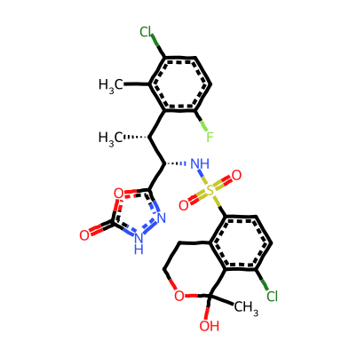 Cc1c(Cl)ccc(F)c1[C@@H](C)[C@H](NS(=O)(=O)c1ccc(Cl)c2c1CCOC2(C)O)c1n[nH]c(=O)o1